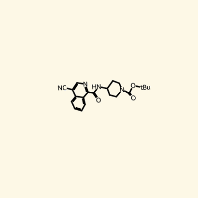 CC(C)(C)OC(=O)N1CCC(NC(=O)c2ncc(C#N)c3ccccc23)CC1